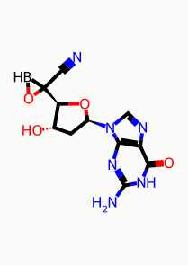 N#CC1([C@H]2O[C@@H](n3cnc4c(=O)[nH]c(N)nc43)C[C@@H]2O)BO1